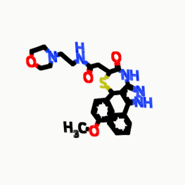 COc1ccc(C2SC(CC(=O)NCCN3CCOCC3)C(=O)Nc3n[nH]c(-c4ccccc4)c32)cc1